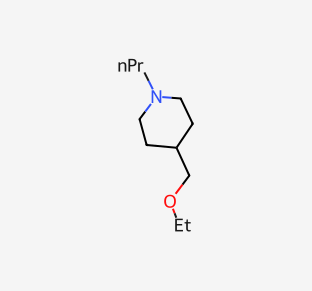 CCCN1CCC(COCC)CC1